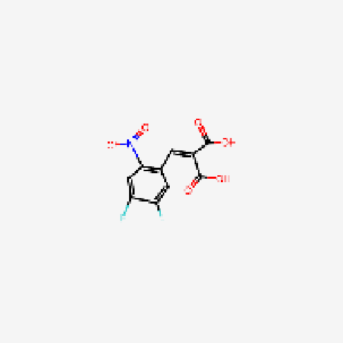 O=C(O)C(=Cc1cc(F)c(F)cc1[N+](=O)[O-])C(=O)O